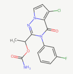 CC(OC(N)=O)c1nn2ccc(Cl)c2c(=O)n1-c1cccc(F)c1